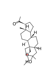 CCOC[C@]12CCC(C)(O)C[C@H]1CC[C@H]1[C@@H]3CC[C@H](C(C)=O)[C@@]3(C)CC[C@@H]12